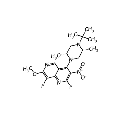 COc1ncc2c(N3C[C@@H](C)N(C(C)(C)C)C[C@H]3C)c([N+](=O)[O-])c(F)nc2c1F